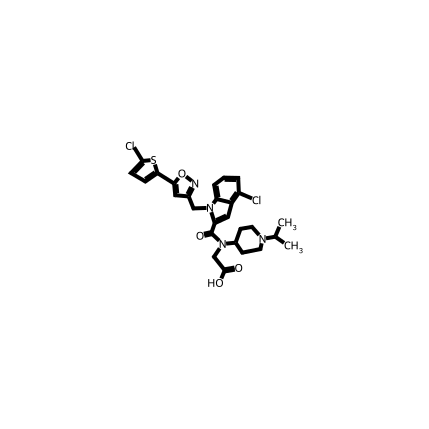 CC(C)N1CCC(N(CC(=O)O)C(=O)c2cc3c(Cl)cccc3n2Cc2cc(-c3ccc(Cl)s3)on2)CC1